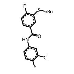 CCCCSc1cc(C(=O)Nc2ccc(F)c(Cl)c2)ccc1F